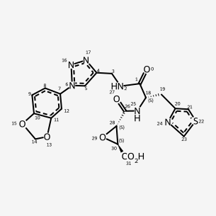 O=C(NCc1cn(-c2ccc3c(c2)OCO3)nn1)[C@H](Cc1cscn1)NC(=O)[C@H]1O[C@@H]1C(=O)O